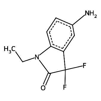 CCN1C(=O)C(F)(F)c2cc(N)ccc21